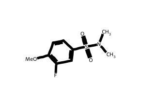 COc1ccc(S(=O)(=O)N(C)C)cc1F